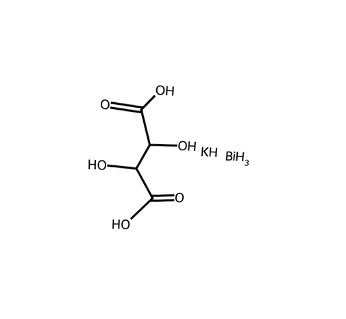 O=C(O)C(O)C(O)C(=O)O.[BiH3].[KH]